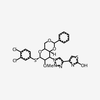 COC1C(n2cc(-c3csc(O)n3)nn2)[C@H]2OC(c3ccccc3)OCC2O[C@@H]1Sc1ccc(Cl)c(Cl)c1